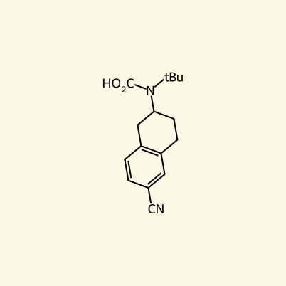 CC(C)(C)N(C(=O)O)C1CCc2cc(C#N)ccc2C1